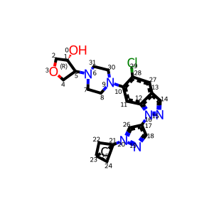 O[C@H]1COCC1N1CCN(c2cc3c(cnn3-c3cnn(C45CC(C4)C5)c3)cc2Cl)CC1